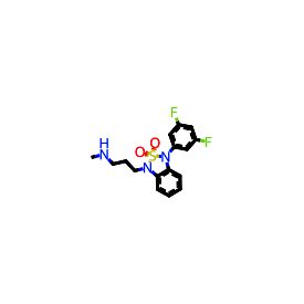 CNCCCN1c2ccccc2N(c2cc(F)cc(F)c2)S1(=O)=O